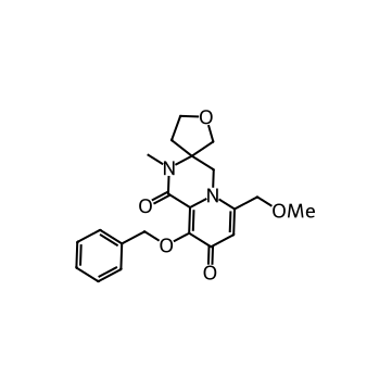 COCc1cc(=O)c(OCc2ccccc2)c2n1CC1(CCOC1)N(C)C2=O